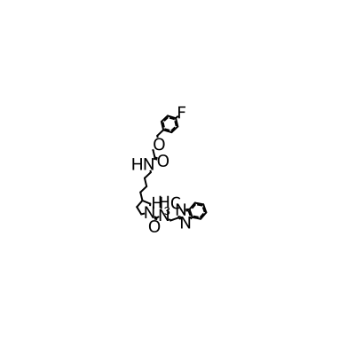 Cn1c(CNC(=O)N2CCC(CCCCNC(=O)COCc3ccc(F)cc3)C2)nc2ccccc21